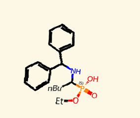 CCCCC(NC(c1ccccc1)c1ccccc1)[P@](=O)(O)OCC